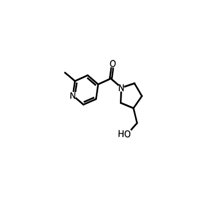 Cc1cc(C(=O)N2CCC(CO)C2)ccn1